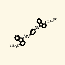 CCOC(=O)c1cccc2c1-c1ccccc1C2=NN=C1C=CC(=NN=C2c3ccccc3-c3c(C(=O)OCC)cccc32)C=C1